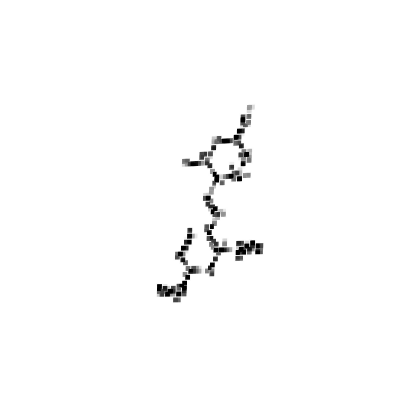 COc1ccc(/C=C/C2NNC(=O)CC2C)c(SC)c1